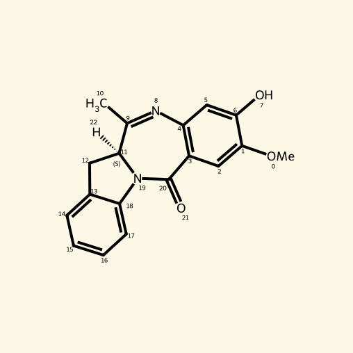 COc1cc2c(cc1O)N=C(C)[C@@H]1Cc3ccccc3N1C2=O